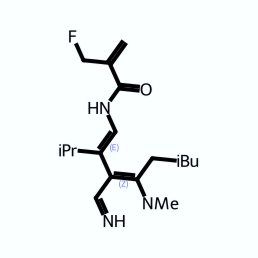 C=C(CF)C(=O)N/C=C(/C(C=N)=C(\CC(C)CC)NC)C(C)C